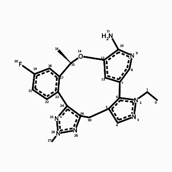 CCn1ncc2c1-c1cnc(N)c(c1)O[C@H](C)c1cc(F)ccc1-c1nn(C)nc1C2